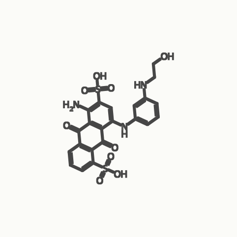 Nc1c(S(=O)(=O)O)cc(Nc2cccc(NCCO)c2)c2c1C(=O)c1cccc(S(=O)(=O)O)c1C2=O